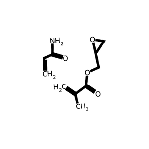 C=C(C)C(=O)OCC1CO1.C=CC(N)=O